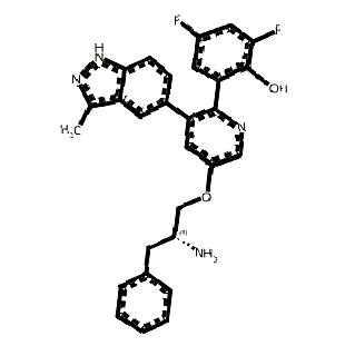 Cc1n[nH]c2ccc(-c3cc(OC[C@H](N)Cc4ccccc4)cnc3-c3cc(F)cc(F)c3O)cc12